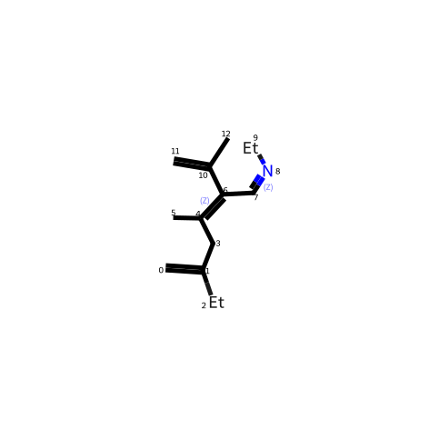 C=C(CC)C/C(C)=C(\C=N/CC)C(=C)C